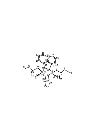 CCCCC(P)(CCCC)C1c2cccc3cccc(c23)C1C(P)(CCCC)CCCC